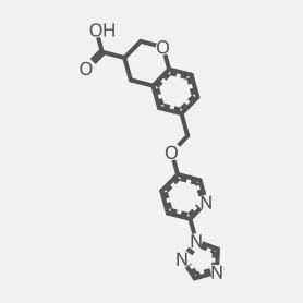 O=C(O)C1COc2ccc(COc3ccc(-n4cncn4)nc3)cc2C1